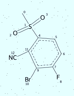 CS(=O)(=O)c1ccc(F)c(Br)c1C#N